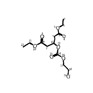 CCOC(=O)CC(CC(=O)OCC)OC(=O)OCCCl